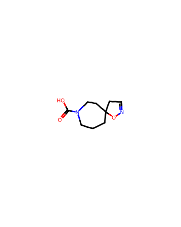 O=C(O)N1CCCC2(CC=NO2)CC1